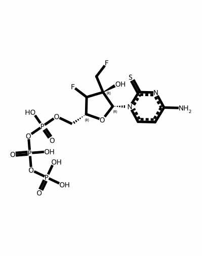 Nc1ccn([C@@H]2O[C@H](COP(=O)(O)OP(=O)(O)OP(=O)(O)O)C(F)[C@]2(O)CF)c(=S)n1